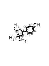 CCCC(CC(C)(C)C)C1C=CC=C(O)C=C1